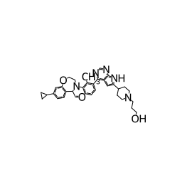 Cc1c(-c2ncnc3[nH]c(C4CCN(CCCO)CC4)cc23)cccc1N1CCOc2cc(C3CC3)ccc2C1C=O